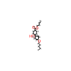 CCCCCOc1ccc(C2(O)CCC(C(=O)OCCCC)CC2)cc1